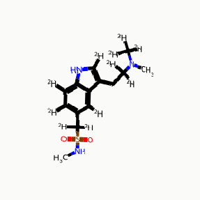 [2H]c1[nH]c2c([2H])c([2H])c(C([2H])([2H])S(=O)(=O)NC)c([2H])c2c1CC([2H])([2H])N(C)C([2H])([2H])[2H]